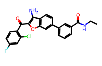 CCNC(=O)c1cccc(-c2ccc3c(N)c(C(=O)c4ccc(F)cc4Cl)oc3c2)c1